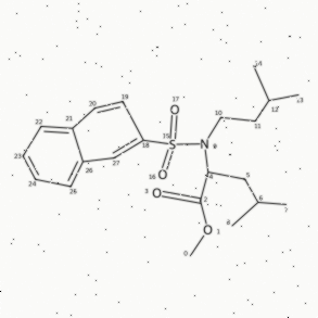 COC(=O)C(CC(C)C)N(CCC(C)C)S(=O)(=O)c1ccc2ccccc2c1